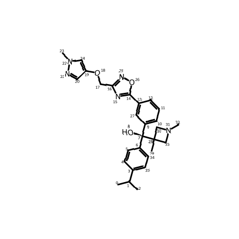 CC(C)c1ccc([C@](O)(c2cccc(-c3nc(COc4cnn(C)c4)no3)c2)C2(C)CN(C)C2)cc1